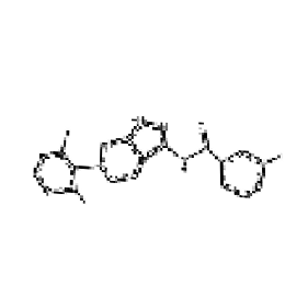 Cc1cccc(C)c1-c1ccc2c(NC(=O)c3cccc(F)c3)n[nH]c2c1